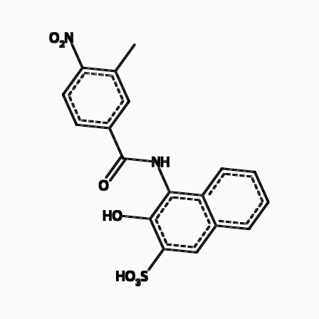 Cc1cc(C(=O)Nc2c(O)c(S(=O)(=O)O)cc3ccccc23)ccc1[N+](=O)[O-]